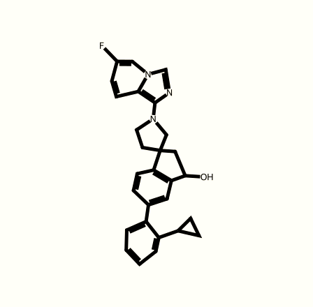 OC1CC2(CCN(c3ncn4cc(F)ccc34)C2)c2ccc(-c3ccccc3C3CC3)cc21